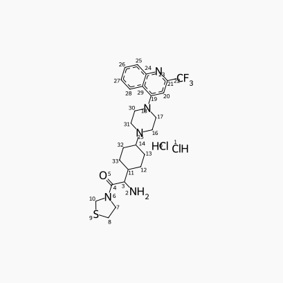 Cl.Cl.NC(C(=O)N1CCSC1)C1CCC(N2CCN(c3cc(C(F)(F)F)nc4ccccc34)CC2)CC1